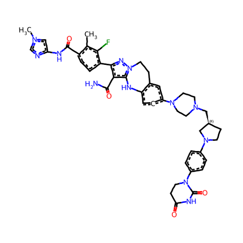 Cc1c(C(=O)Nc2cn(C)cn2)ccc(-c2nn3c(c2C(N)=O)Nc2ccc(N4CCN(C[C@H]5CCN(c6ccc(N7CCC(=O)NC7=O)cc6)C5)CC4)cc2CC3)c1F